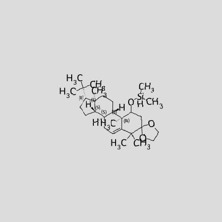 C[SiH](C)OC1CC2(OCCO2)C(C)(C)C2=CC[C@H]3[C@@H]4CC[C@H](C(C)(C)C)[C@@]4(C)CC[C@@H]3[C@]21C